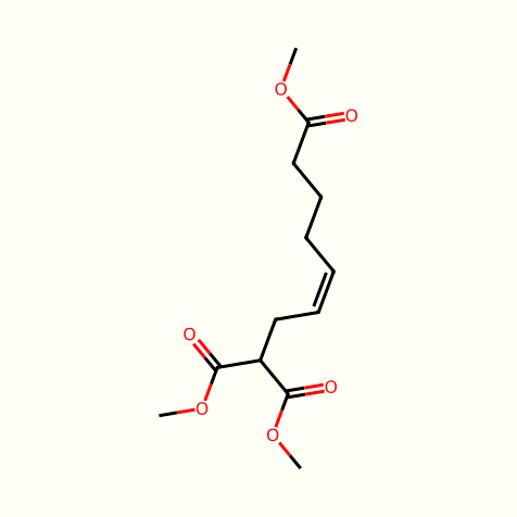 COC(=O)CCC/C=C\CC(C(=O)OC)C(=O)OC